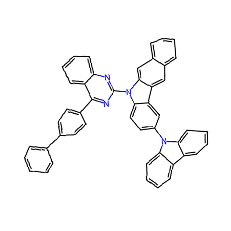 c1ccc(-c2ccc(-c3nc(-n4c5ccc(-n6c7ccccc7c7ccccc76)cc5c5cc6ccccc6cc54)nc4ccccc34)cc2)cc1